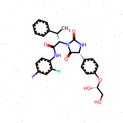 CC(c1ccccc1)[C@@H](C(=O)Nc1ccc(I)cc1F)N1C(=O)N[C@H](c2ccc(O[C@@H](O)CO)cc2)C1=O